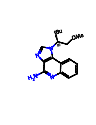 COC[C@@H](n1cnc2c(N)nc3ccccc3c21)C(C)(C)C